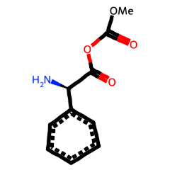 COC(=O)OC(=O)[C@H](N)c1ccccc1